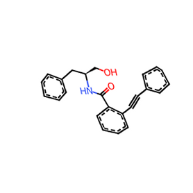 O=C(N[C@H](CO)Cc1ccccc1)c1ccccc1C#Cc1ccccc1